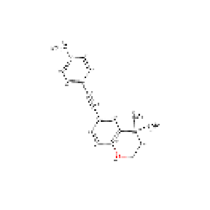 CCOC(=O)c1ccc(C#Cc2ccc3c(c2)C(SC)(SC)CCO3)cc1